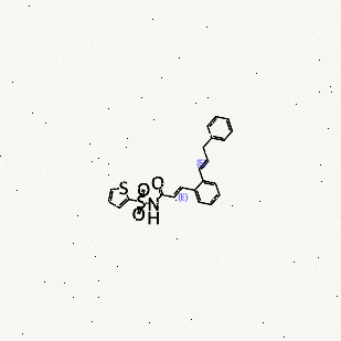 O=C(/C=C/c1ccccc1/C=C/Cc1ccccc1)NS(=O)(=O)c1cccs1